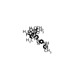 Cc1ccc(Nc2ccc3c(c2)ncn3-c2ccc(N(C(=O)OC(C)(C)C)C(=O)OC(C)(C)C)c(-n3nc(C(F)F)cc3C)n2)nn1